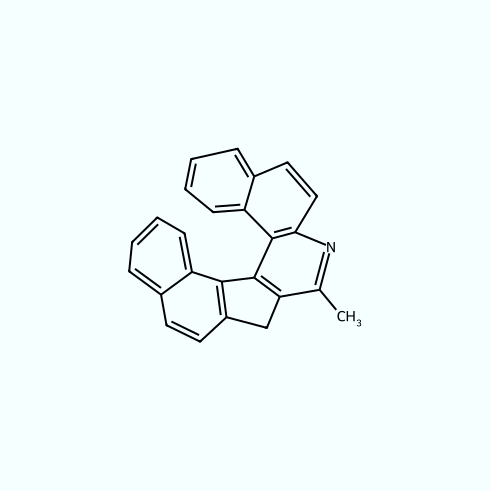 Cc1nc2ccc3ccccc3c2c2c1Cc1ccc3ccccc3c1-2